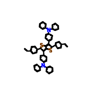 C=Cc1ccc(-c2sc3c(-c4ccc(N(c5ccccc5)c5ccccc5)cc4)c(-c4ccc(C=C)cc4)sc3c2-c2ccc(N(c3ccccc3)c3ccccc3)cc2)cc1